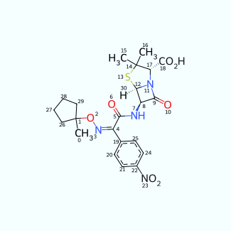 CC1(O/N=C(\C(=O)N[C@@H]2C(=O)N3[C@@H]2SC(C)(C)[C@@H]3C(=O)O)c2ccc([N+](=O)[O-])cc2)CCCC1